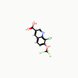 O=C(O)c1cnc2c(Cl)c(OC(F)F)ccc2c1